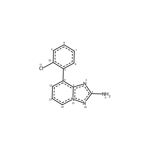 Nc1nc2c(-c3ccccc3Cl)cccn2n1